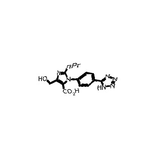 CCCc1nc(CO)c(C(=O)O)n1-c1ccc(-c2nnn[nH]2)cc1